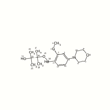 COc1cc(N2CCOCC2)ccc1BOC(C)(C)C(C)(C)O